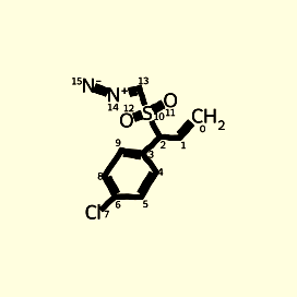 C=CC(c1ccc(Cl)cc1)S(=O)(=O)C=[N+]=[N-]